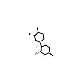 C[C@H]1CCN([C@@]2(C)CCN(C)C[C@@H]2F)C[C@@H]1F